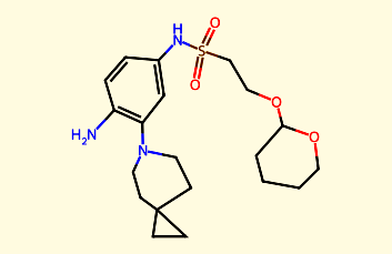 Nc1ccc(NS(=O)(=O)CCOC2CCCCO2)cc1N1CCC2(CC1)CC2